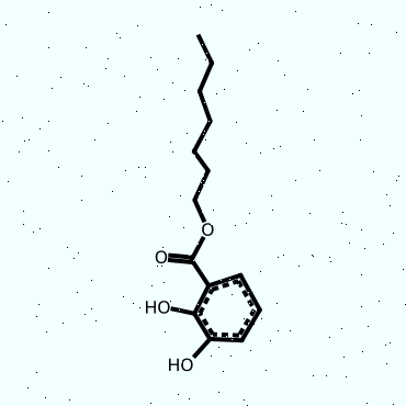 CCCCCCCOC(=O)c1cccc(O)c1O